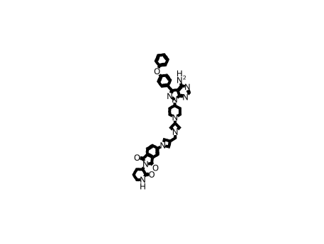 Nc1ncnc2c1c(-c1ccc(Oc3ccccc3)cc1)nn2C1CCN(C2CN(CC3CN(c4ccc5c(c4)C(=O)N(C4CCCNC4=O)C5=O)C3)C2)CC1